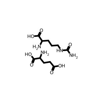 NC(=O)NCCCC(N)C(=O)O.NC(CCC(=O)O)C(=O)O